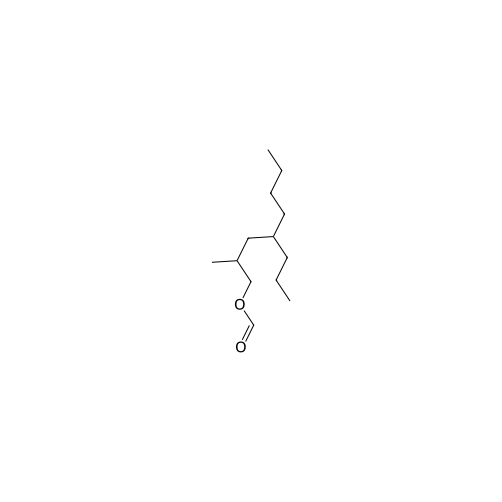 CCCCC(CCC)CC(C)COC=O